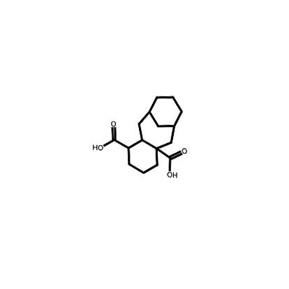 O=C(O)C1CCCC2(C(=O)O)CC3CCCC(C3)CC12